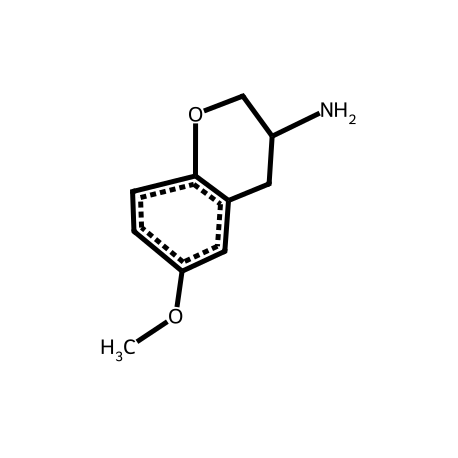 COc1ccc2c(c1)CC(N)CO2